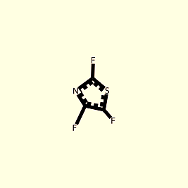 Fc1nc(F)c(F)s1